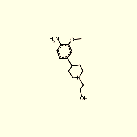 COc1cc(C2CCN(CCO)CC2)ccc1N